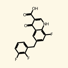 O=C(O)c1c[nH]c2c(F)cc(Cc3cccc(F)c3F)cc2c1=O